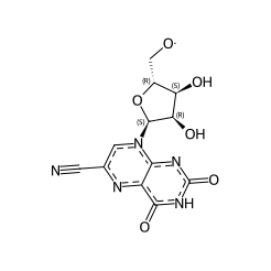 N#Cc1cn([C@H]2O[C@H](C[O])[C@@H](O)[C@H]2O)c2nc(=O)[nH]c(=O)c-2n1